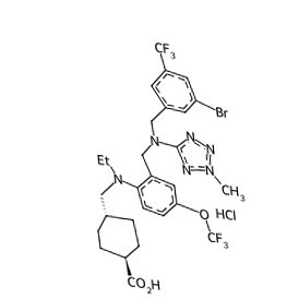 CCN(C[C@H]1CC[C@H](C(=O)O)CC1)c1ccc(OC(F)(F)F)cc1CN(Cc1cc(Br)cc(C(F)(F)F)c1)c1nnn(C)n1.Cl